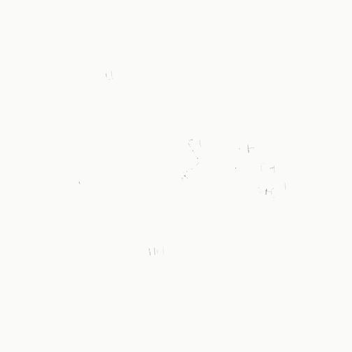 Cc1cc2c(-c3ccc(Cl)cc3)ccccc-2[c]1[Zr]([CH3])([CH3])(=[SiH2])[c]1c(C)cc2c(-c3ccc(Cl)cc3)ccccc1-2.Cl.Cl